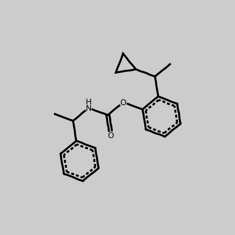 CC(NC(=O)Oc1ccccc1C(C)C1CC1)c1ccccc1